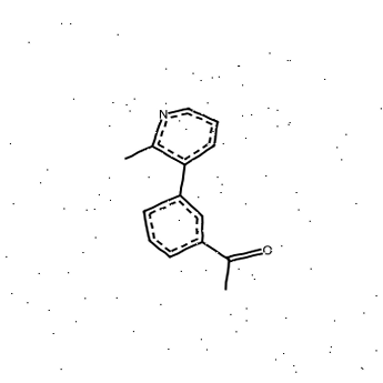 CC(=O)c1cccc(-c2cccnc2C)c1